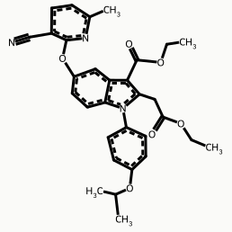 CCOC(=O)Cc1c(C(=O)OCC)c2cc(Oc3nc(C)ccc3C#N)ccc2n1-c1ccc(OC(C)C)cc1